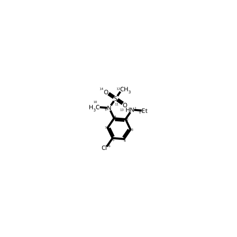 CCNc1ccc(Cl)cc1N(C)S(C)(=O)=O